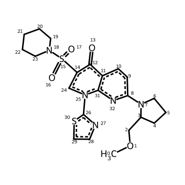 COCC1CCCN1c1ccc2c(=O)c(S(=O)(=O)N3CCCCC3)cn(-c3nccs3)c2n1